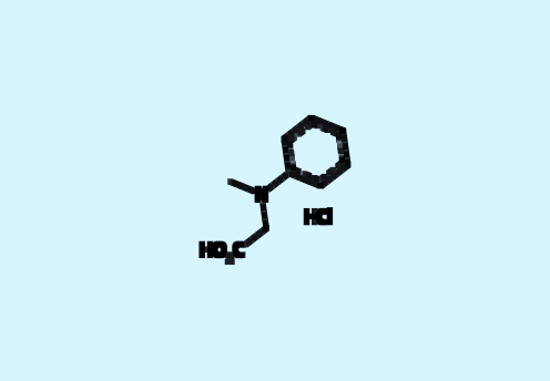 CN(CC(=O)O)c1ccccc1.Cl